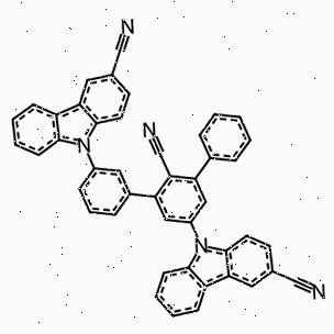 N#Cc1ccc2c(c1)c1ccccc1n2-c1cccc(-c2cc(-n3c4ccccc4c4cc(C#N)ccc43)cc(-c3ccccc3)c2C#N)c1